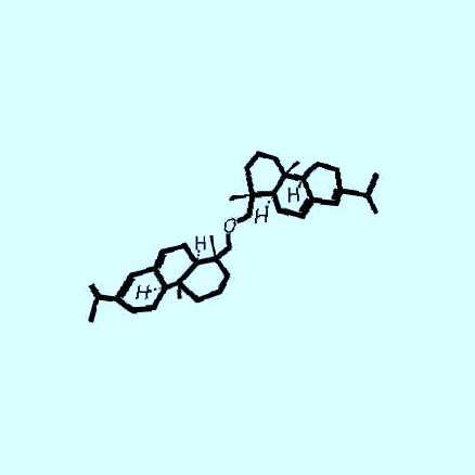 CC(C)C1=CC2=CC[C@H]3[C@](C)(COC[C@]4(C)CCC[C@]5(C)[C@H]6CCC(C(C)C)=CC6=CC[C@@H]45)CCC[C@]3(C)[C@H]2CC1